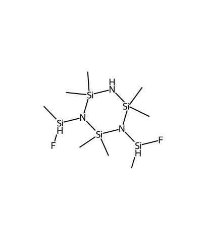 C[SiH](F)N1[Si](C)(C)N[Si](C)(C)N([SiH](C)F)[Si]1(C)C